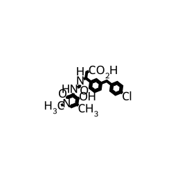 Cc1cn(C)c(=O)c(NC(=O)NC(CC(=O)O)c2cccc(Cc3ccc(Cl)cc3)c2)c1O